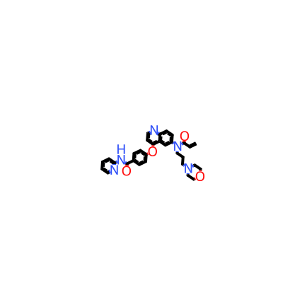 C=CC(=O)N(CCCN1CCOCC1)c1ccc2nccc(Oc3ccc(C(=O)Nc4ccccn4)cc3)c2c1